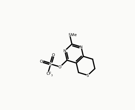 CSc1nc2c(c(OS(=O)(=O)C(F)(F)F)n1)CSCC2